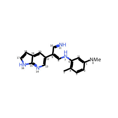 CNc1ccc(C)c(N/C=C(\C=N)c2cnc3[nH]ccc3c2)c1